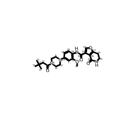 COc1cc(N2CCN(C(=O)CC(C)(C)C)CC2)ccc1NC(=O)c1coc2c1C(=O)NCC2